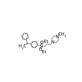 C=C(c1ccccc1)c1ccc([Si](CCCN2CCN(C)CC2)(OCC)OCC)cc1